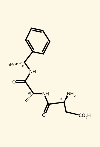 CC(C)[C@@H](NC(=O)[C@@H](C)NC(=O)[C@@H](N)CC(=O)O)c1ccccc1